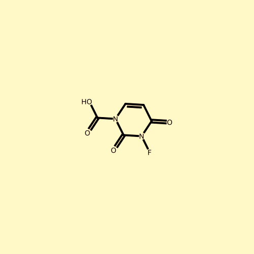 O=C(O)n1ccc(=O)n(F)c1=O